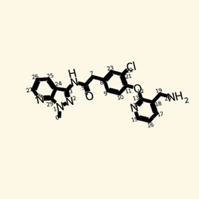 Cn1nc(NC(=O)Cc2ccc(Oc3ncccc3CN)c(Cl)c2)c2cccnc21